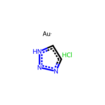 Cl.[Au].c1c[nH]nn1